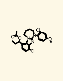 CCC(OC(C)=O)c1ccc(Cl)c2nc3n(c12)CCCCN3c1ccc(OC)cc1Cl